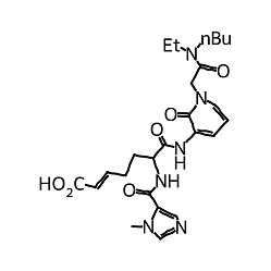 CCCCN(CC)C(=O)Cn1cccc(NC(=O)C(CCC=CC(=O)O)NC(=O)c2cncn2C)c1=O